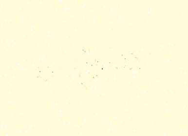 Nc1cc(OCc2ccccc2)c2ccccc2c1NC(=O)CCc1ccc(F)cc1